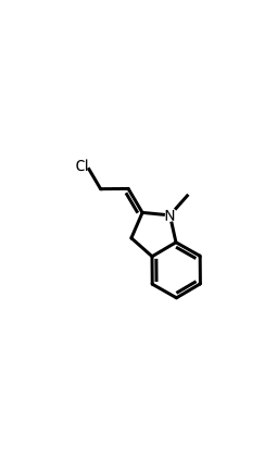 CN1/C(=C/CCl)Cc2ccccc21